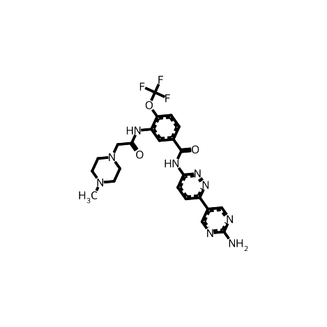 CN1CCN(CC(=O)Nc2cc(C(=O)Nc3ccc(-c4cnc(N)nc4)nn3)ccc2OC(F)(F)F)CC1